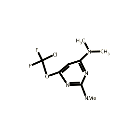 CNc1nc(OC(F)(F)Cl)cc(N(C)C)n1